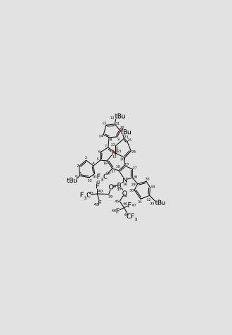 CC(C)(C)c1ccc(C2=CC(c3ccc(C(C)(C)C)cc3)=N/C2=C(\c2c(-c3ccc(C(C)(C)C)cc3)cc(-c3ccc(C(C)(C)C)cc3)n2B(OCC(F)(F)C(F)(F)F)OCC(F)(F)C(F)(F)F)C(F)(F)F)cc1